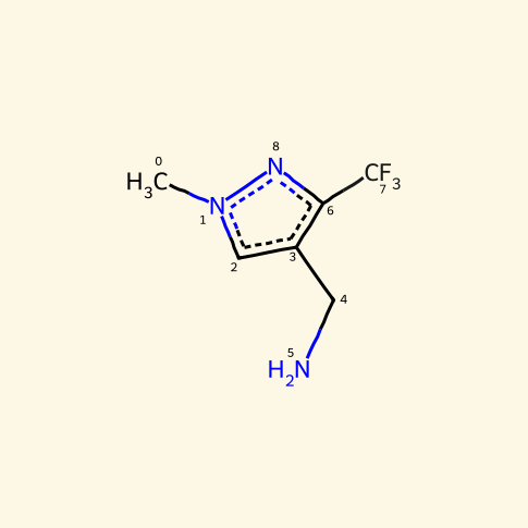 Cn1cc(CN)c(C(F)(F)F)n1